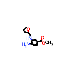 COC(=O)c1ccc(N)c(NCC2CCCO2)c1